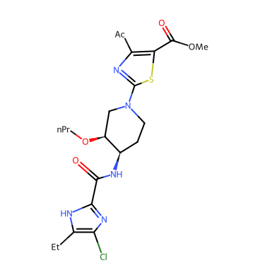 CCCO[C@H]1CN(c2nc(C(C)=O)c(C(=O)OC)s2)CC[C@H]1NC(=O)c1nc(Cl)c(CC)[nH]1